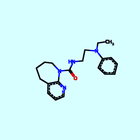 CCN(CCNC(=O)N1CCCCc2cccnc21)c1ccccc1